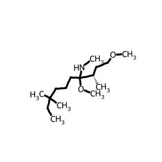 CCC(C)(C)CCCC(NC)(OC)[C@@H](C)CCOC